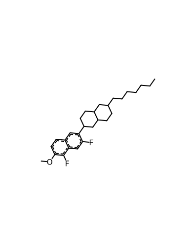 CCCCCCCC1CCC2CC(c3cc4ccc(OC)c(F)c4cc3F)CCC2C1